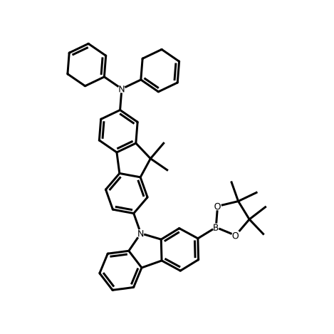 CC1(C)c2cc(N(C3=CC=CCC3)C3=CC=CCC3)ccc2-c2ccc(-n3c4ccccc4c4ccc(B5OC(C)(C)C(C)(C)O5)cc43)cc21